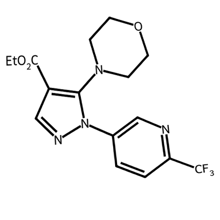 CCOC(=O)c1cnn(-c2ccc(C(F)(F)F)nc2)c1N1CCOCC1